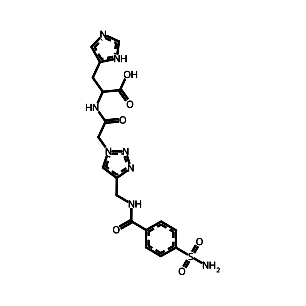 NS(=O)(=O)c1ccc(C(=O)NCc2cn(CC(=O)NC(Cc3cnc[nH]3)C(=O)O)nn2)cc1